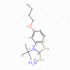 CCCCOc1ccc2c(c1)N(C(C)(C)C)C(SN)S2